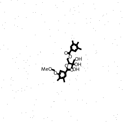 COCOc1cc(C(=O)OC(COC(=O)c2cc(C)c(C)c(C)c2)C(O)(CO)CO)cc(C)c1C